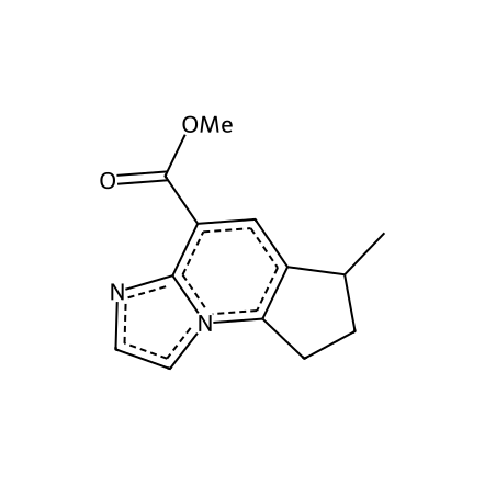 COC(=O)c1cc2c(n3ccnc13)CCC2C